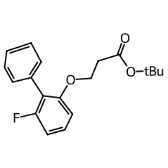 CC(C)(C)OC(=O)CCOc1cccc(F)c1-c1ccccc1